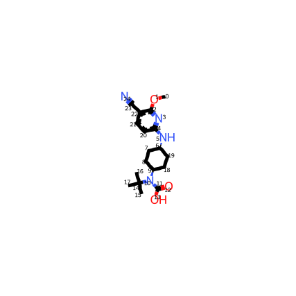 COc1nc(N[C@H]2CC[C@H](N(C(=O)O)C(C)(C)C)CC2)ccc1C#N